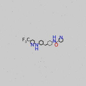 O=C(NC1CCC(=Cc2cccc(Nc3ccc(C(F)(F)F)cn3)c2)CC1)c1cccnc1